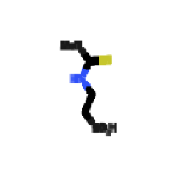 CNC(=S)NCCS(=O)(=O)O